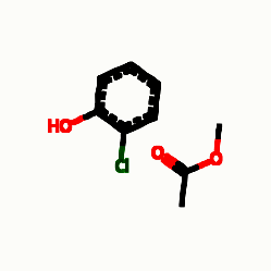 COC(C)=O.Oc1ccccc1Cl